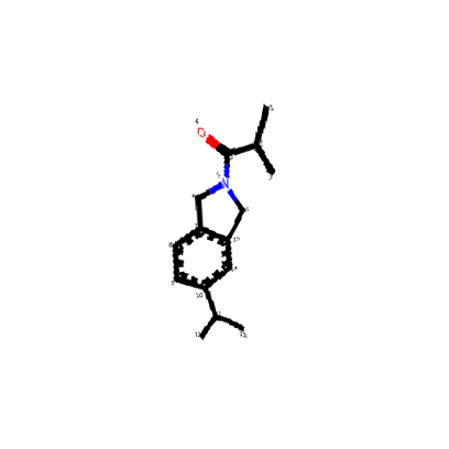 CC(C)C(=O)N1Cc2ccc(C(C)C)cc2C1